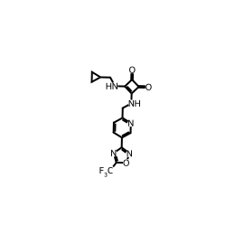 O=c1c(NCc2ccc(-c3noc(C(F)(F)F)n3)cn2)c(NCC2CC2)c1=O